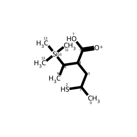 CC(S)CC(C(=O)O)C(C)[Si](C)(C)C